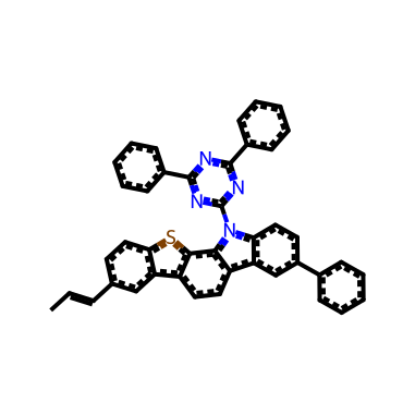 C/C=C/c1ccc2sc3c(ccc4c5cc(-c6ccccc6)ccc5n(-c5nc(-c6ccccc6)nc(-c6ccccc6)n5)c43)c2c1